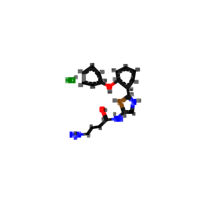 Cl.NCCCC(=O)Nc1cnc(-c2ccccc2Oc2ccccc2)s1